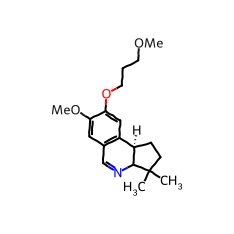 COCCCOc1cc2c(cc1OC)C=NC1[C@@H]2CCC1(C)C